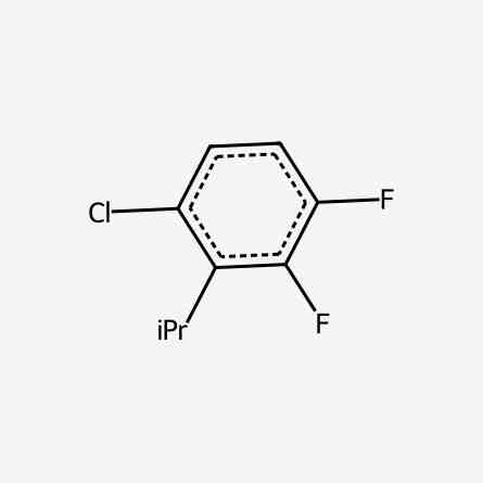 CC(C)c1c(Cl)ccc(F)c1F